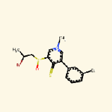 CCc1cccc(-c2cn(C)cc([S+]([O-])CC(C)Br)c2=S)c1